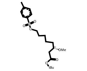 CO[C@@H](CCCCCOS(=O)(=O)c1ccc(C)cc1)CC(=O)OC(C)(C)C